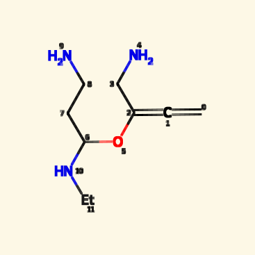 C=C=C(CN)OC(CCN)NCC